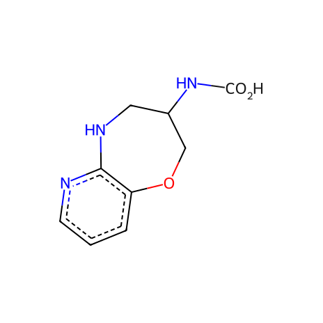 O=C(O)NC1CNc2ncccc2OC1